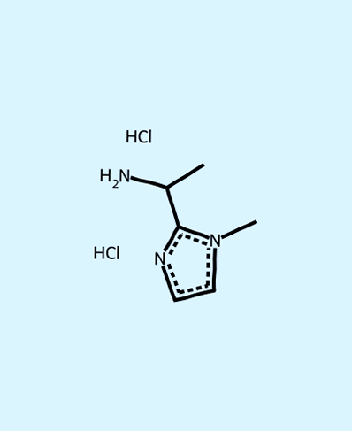 CC(N)c1nccn1C.Cl.Cl